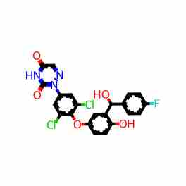 O=c1cnn(-c2cc(Cl)c(Oc3ccc(O)c(C(O)c4ccc(F)cc4)c3)c(Cl)c2)c(=O)[nH]1